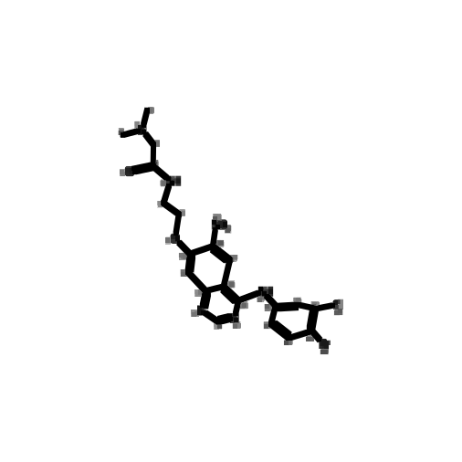 CN(C)CC(=O)NCCOc1cc2ncnc(Nc3ccc(Br)c(Cl)c3)c2cc1[N+](=O)[O-]